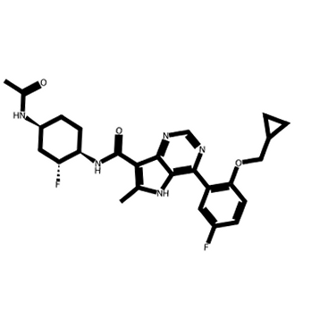 CC(=O)N[C@H]1CC[C@@H](NC(=O)c2c(C)[nH]c3c(-c4cc(F)ccc4OCC4CC4)ncnc23)[C@H](F)C1